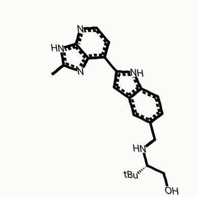 Cc1nc2c(-c3cc4cc(CN[C@H](CO)C(C)(C)C)ccc4[nH]3)ccnc2[nH]1